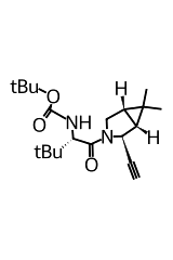 C#C[C@@H]1[C@@H]2[C@H](CN1C(=O)[C@@H](NC(=O)OC(C)(C)C)C(C)(C)C)C2(C)C